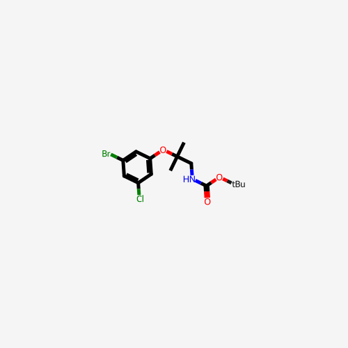 CC(C)(C)OC(=O)NCC(C)(C)Oc1cc(Cl)cc(Br)c1